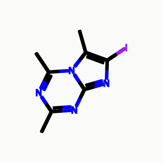 Cc1nc(C)n2c(C)c(I)nc2n1